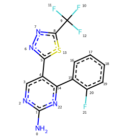 Nc1ncc(-c2nnc(C(F)(F)F)s2)c(-c2ccccc2F)n1